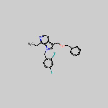 CCc1nccc2c(COCc3ccccc3)cn(Cc3ccc(F)cc3F)c12